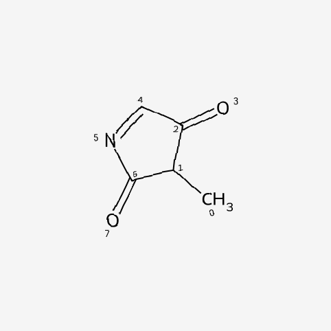 CC1C(=O)C=NC1=O